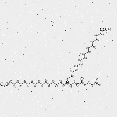 CN(C)CCCC(=O)OCCN(CCCCCCCCCCCCCCCCC(=O)O)CCCCCCCCCCCCCCCCC(=O)O